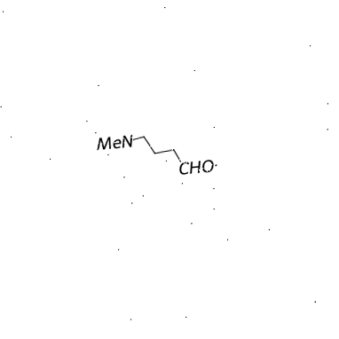 CNCCC[C]=O